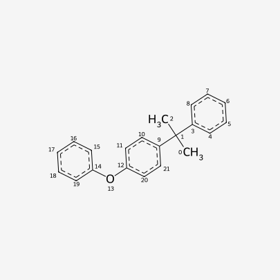 CC(C)(c1ccccc1)c1ccc(Oc2ccccc2)cc1